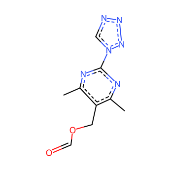 Cc1nc(-n2cnnn2)nc(C)c1COC=O